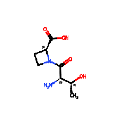 C[C@@H](O)[C@H](N)C(=O)N1CC[C@H]1C(=O)O